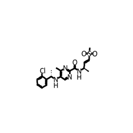 Cc1nc(C(=O)N[C@H](C)/C=C/S(C)(=O)=O)ncc1N[C@@H](C)c1ccccc1Cl